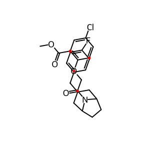 COC(=O)c1cc(Cl)ccc1OCC(=O)N1C2CCC1CC(Cc1ccc(F)cc1)C2